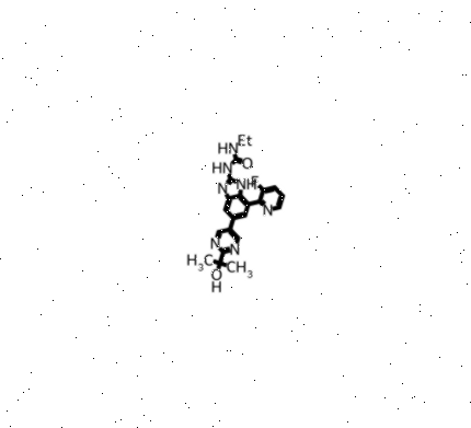 CCNC(=O)Nc1nc2cc(-c3cnc(C(C)(C)O)nc3)cc(-c3ncccc3F)c2[nH]1